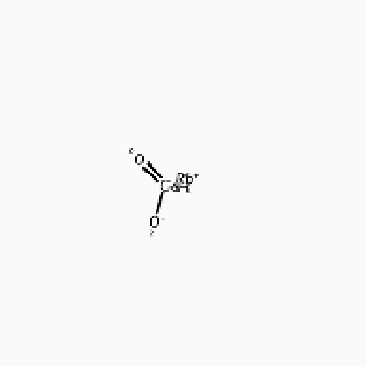 [O]=[GeH][O-].[Rb+]